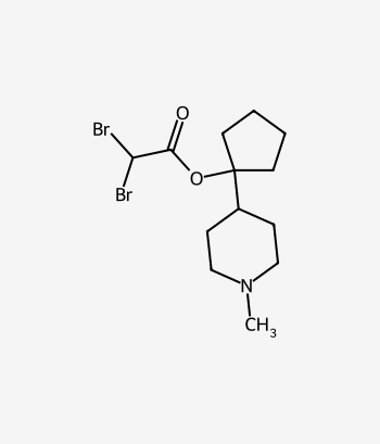 CN1CCC(C2(OC(=O)C(Br)Br)CCCC2)CC1